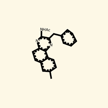 CC(=O)Nc1nc2ccc3cc(C)ccc3c2nc1Cc1ccccc1